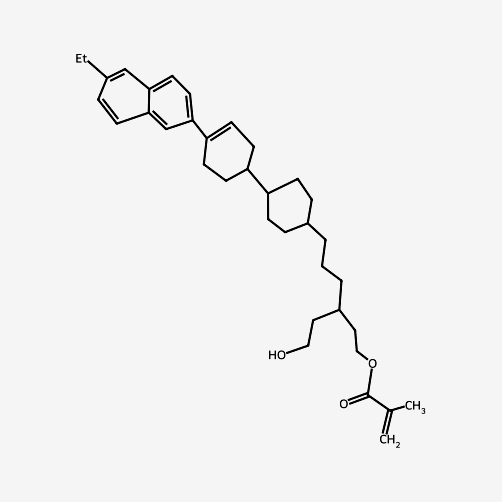 C=C(C)C(=O)OCCC(CCO)CCCC1CCC(C2CC=C(c3ccc4cc(CC)ccc4c3)CC2)CC1